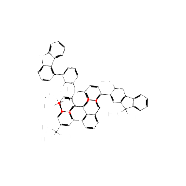 CC1CC2=C(C=C1c1ccc(N(c3ccccc3-c3cccc4cccc(-c5cc(C(C)(C)C)cc(C(C)(C)C)c5)c34)C3C=CC=C(c4cccc5oc6ccccc6c45)C3C)cc1)C(C)(C)c1ccccc12